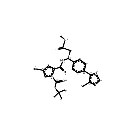 COC(=O)C[C@H](NC(=O)c1cc(O)cn1C(=O)OC(C)(C)C)c1ccc(-c2scnc2C)cc1